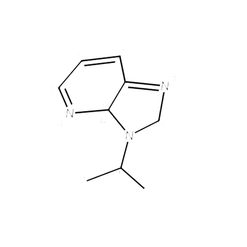 CC(C)N1CN=C2C=CC=NC21